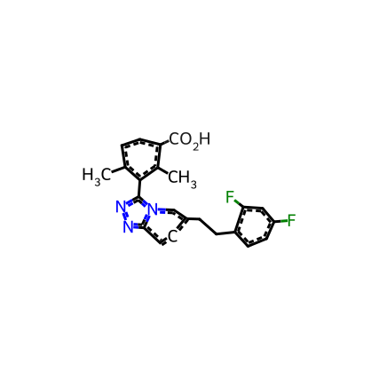 Cc1ccc(C(=O)O)c(C)c1-c1nnc2ccc(CCc3ccc(F)cc3F)cn12